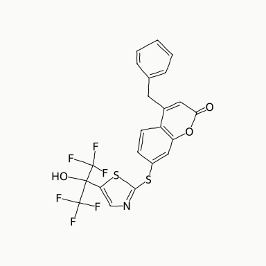 O=c1cc(Cc2ccccc2)c2ccc(Sc3ncc(C(O)(C(F)(F)F)C(F)(F)F)s3)cc2o1